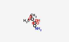 COc1ccc(-c2oc3ccc(N)cc3c(=O)c2O)cc1OC